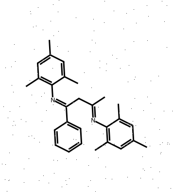 CC(CC(=Nc1c(C)cc(C)cc1C)c1ccccc1)=Nc1c(C)cc(C)cc1C